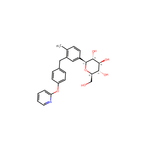 Cc1ccc([C@@H]2O[C@H](CO)[C@@H](O)[C@H](O)[C@H]2O)cc1Cc1ccc(Oc2ccccn2)cc1